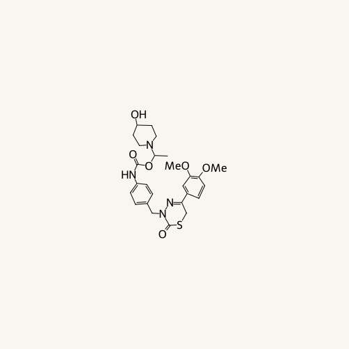 COc1ccc(C2=NN(Cc3ccc(NC(=O)OC(C)N4CCC(O)CC4)cc3)C(=O)SC2)cc1OC